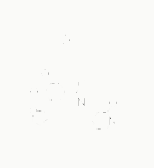 COc1c(O[C@H]2CC[C@H](N(C)C)CC2)c(C)c2c(c1-c1ccco1)CCN(Cc1c(C)cc(C)[nH]c1=O)C2=O